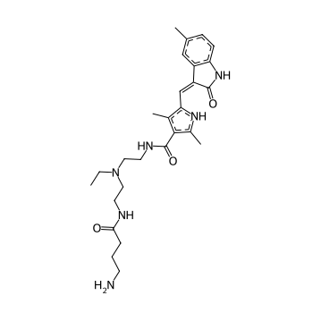 CCN(CCNC(=O)CCCN)CCNC(=O)c1c(C)[nH]c(/C=C2\C(=O)Nc3ccc(C)cc32)c1C